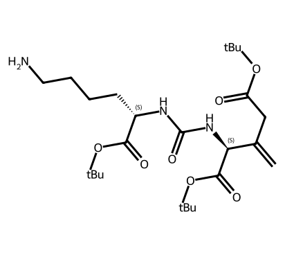 C=C(CC(=O)OC(C)(C)C)[C@H](NC(=O)N[C@@H](CCCCN)C(=O)OC(C)(C)C)C(=O)OC(C)(C)C